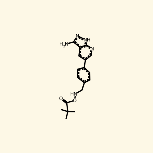 CC(C)(C)C(=O)ONCc1ccc(-c2cnc3[nH]nc(N)c3c2)cc1